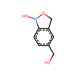 OCc1ccc2c(c1)CON2O